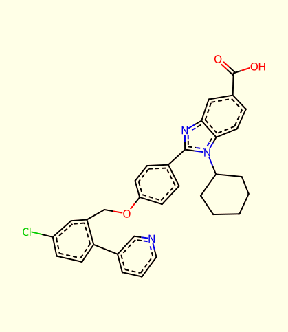 O=C(O)c1ccc2c(c1)nc(-c1ccc(OCc3cc(Cl)ccc3-c3cccnc3)cc1)n2C1CCCCC1